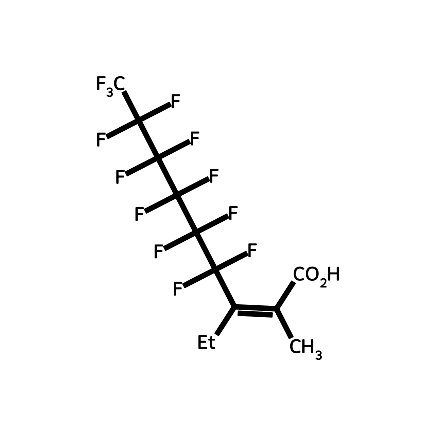 CCC(=C(C)C(=O)O)C(F)(F)C(F)(F)C(F)(F)C(F)(F)C(F)(F)C(F)(F)F